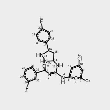 O=C(/N=C(/Nc1cc(F)cc(Cl)c1)NC1CC(c2ccc(F)cc2)NN1)c1cccc(F)c1